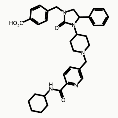 O=C(O)c1ccc(CN2CC(c3ccccc3)N(C3CCN(Cc4ccc(C(=O)NC5CCCCC5)nc4)CC3)C2=O)cc1